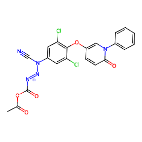 CC(=O)OC(=O)/N=N/N(C#N)c1cc(Cl)c(Oc2ccc(=O)n(-c3ccccc3)c2)c(Cl)c1